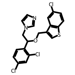 Clc1ccc(C(Cn2ccnc2)OCc2csc3ccc(Cl)cc23)c(Cl)c1